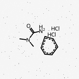 CN(C)C(N)=O.Cl.Cl.c1ccccc1